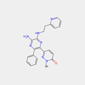 CC(C)n1nc(-c2nc(NCCc3ccccn3)c(N)nc2-c2ccccc2)ccc1=O